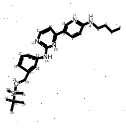 CCCCNc1ccc(-c2ccnc(Nc3cccc(CO[Si](C)(C)C(C)(C)C)c3)n2)cn1